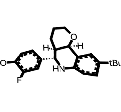 CC(C)(C)c1ccc2c(c1)[C@@H]1OCCC[C@@H]1[C@@H](c1ccc(O)c(F)c1)N2